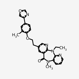 CCN1c2ncc(CCOc3ccc(-c4cocn4)cc3C)cc2C(=O)N(C)c2cccnc21